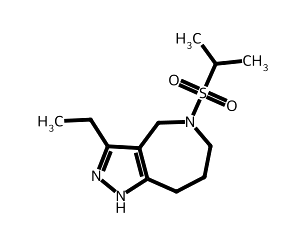 CCc1n[nH]c2c1CN(S(=O)(=O)C(C)C)CCC2